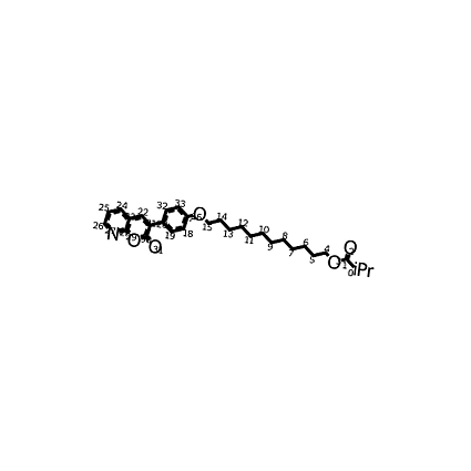 CC(C)C(=O)OCCCCCCCCCCCCOc1ccc(-c2cc3cccnc3oc2=O)cc1